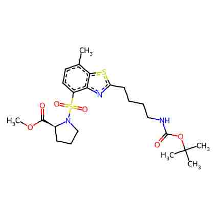 COC(=O)[C@@H]1CCCN1S(=O)(=O)c1ccc(C)c2sc(CCCCNC(=O)OC(C)(C)C)nc12